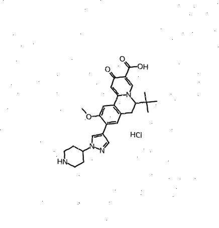 COc1cc2c(cc1-c1cnn(C3CCNCC3)c1)CC(C(C)(C)C)n1cc(C(=O)O)c(=O)cc1-2.Cl